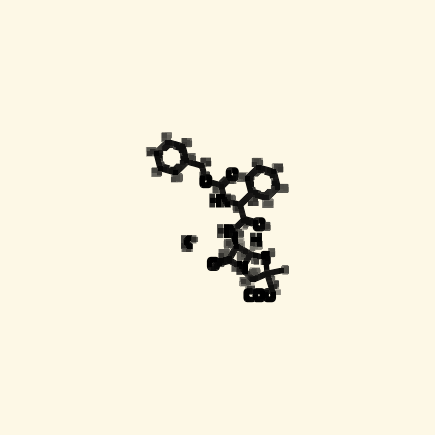 CC1(C)S[C@@H]2[C@H](NC(=O)C(NC(=O)OCc3ccccc3)c3ccccc3)C(=O)N2[C@H]1C(=O)[O-].[K+]